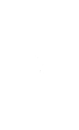 [Ag].[S].[S]=[Ge]